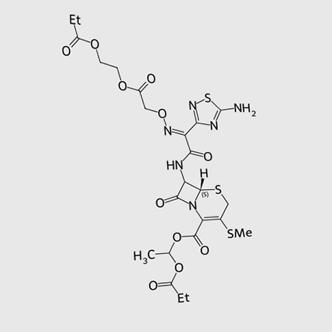 CCC(=O)OCCOC(=O)CON=C(C(=O)NC1C(=O)N2C(C(=O)OC(C)OC(=O)CC)=C(SC)CS[C@@H]12)c1nsc(N)n1